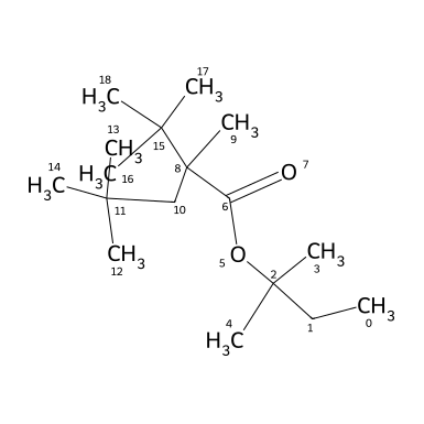 CCC(C)(C)OC(=O)C(C)(CC(C)(C)C)C(C)(C)C